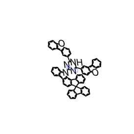 C/C(=N\C(=N/C(=N)c1ccc2oc3ccccc3c2c1)n1c2ccccc2c2ccc3c(c21)-c1ccccc1C31c2ccccc2-c2ccccc21)c1ccc2oc3ccccc3c2c1